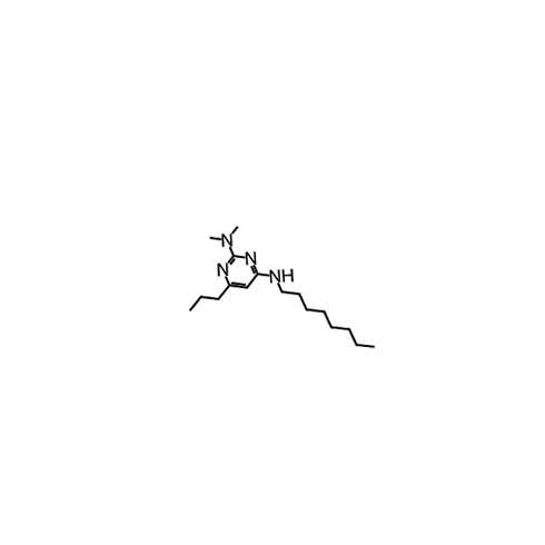 CCCCCCCCNc1cc(CCC)nc(N(C)C)n1